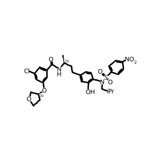 CC(C)CN(c1ccc(CC[C@H](C)NC(=O)c2cc(Cl)cc(O[C@H]3CCOC3)c2)cc1O)S(=O)(=O)c1ccc([N+](=O)[O-])cc1